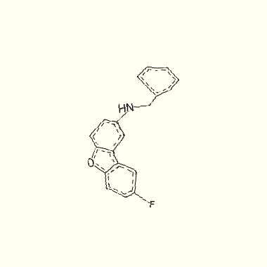 Fc1ccc2oc3ccc(NCc4ccccc4)cc3c2c1